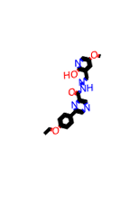 CCOc1ccc(-c2cncc(C(=O)N/N=C/c3cc(OC)cnc3O)n2)cc1